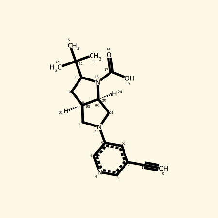 C#Cc1cncc(N2C[C@H]3CC(C(C)(C)C)N(C(=O)O)[C@H]3C2)c1